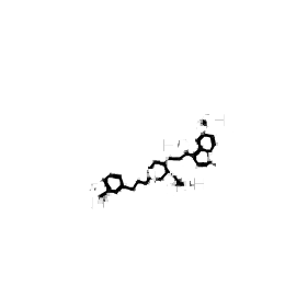 COc1ccc2nccc([C@@H](O)CC[C@@H]3CCN(CCCc4cccc(C(F)(F)F)c4)C[C@@H]3CC(=O)O)c2c1